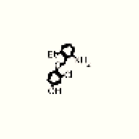 CCc1cccc(N)c1COc1ccc(O)cc1Cl